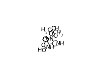 CC(C)(C)OC(=O)NC1CNCCC1[C](NC(=O)O)c1ccccc1